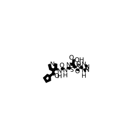 O=C(Nc1nc(C(=O)O)c(S(=O)(=O)c2nnn[nH]2)s1)Nc1cnccc1C(=O)C1CCCC1